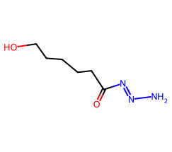 NN=NC(=O)CCCCCO